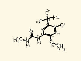 CNC(=O)Nc1cc(C(F)(F)F)c(Cl)cc1OC